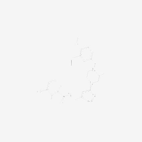 COc1ccc(CN2CCN(c3cc(CNC(=O)c4cccc(Cl)c4C)ccn3)CC2C)cc1OC